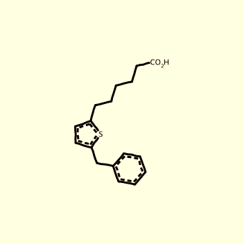 O=C(O)CCCCCc1ccc(Cc2ccccc2)s1